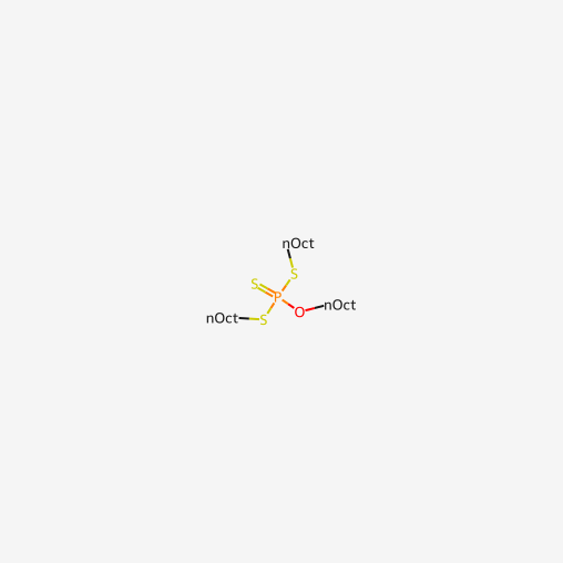 CCCCCCCCOP(=S)(SCCCCCCCC)SCCCCCCCC